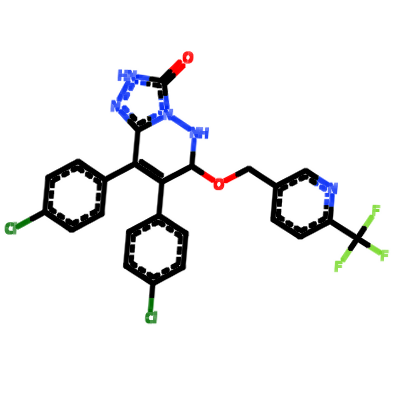 O=c1[nH]nc2n1NC(OCc1ccc(C(F)(F)F)nc1)C(c1ccc(Cl)cc1)=C2c1ccc(Cl)cc1